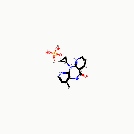 Cc1ccnc2c1NC(=O)c1cccnc1N2C1CC1.O=P(O)(O)O